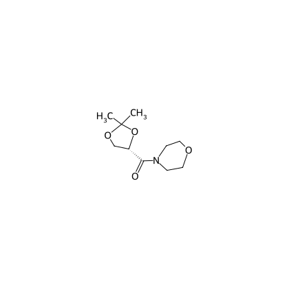 CC1(C)OC[C@@H](C(=O)N2CCOCC2)O1